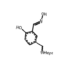 CCCCCCCCc1ccc(O)c(C=NO)c1